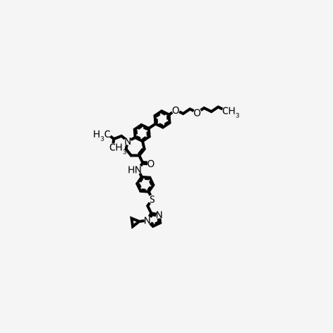 CCCCOCCOc1ccc(-c2ccc3c(c2)C=C(C(=O)Nc2ccc(SCc4nccn4C4CC4)cc2)CCN3CC(C)C)cc1